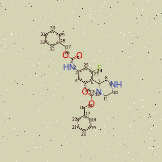 O=C(Nc1ccc(C2CNCCN2C(=O)OCc2ccccc2)c(F)c1)OCc1ccccc1